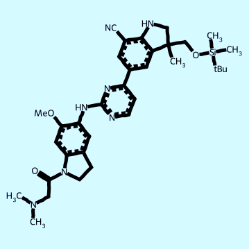 COc1cc2c(cc1Nc1nccc(-c3cc(C#N)c4c(c3)C(C)(CO[Si](C)(C)C(C)(C)C)CN4)n1)CCN2C(=O)CN(C)C